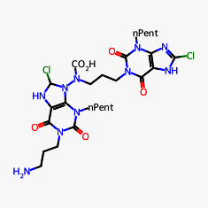 CCCCCn1c2c(c(=O)n(CCCN)c1=O)NC(Cl)N2N(CCCn1c(=O)c2[nH]c(Cl)nc2n(CCCCC)c1=O)C(=O)O